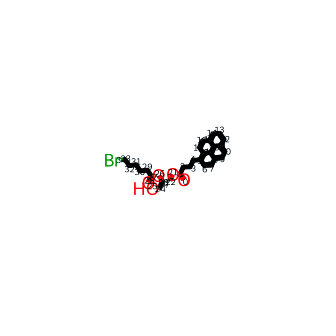 O=C(CCCc1ccc2ccc3cccc4ccc1c2c34)OC[C@H](CO)OC(=O)CCCCCBr